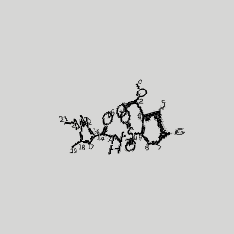 COC(=O)c1ccccc1S(=O)(=O)NC(=O)c1cc(C)n(C)n1